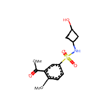 COC(=O)c1cc(S(=O)(=O)NC2CC(O)C2)ccc1OC